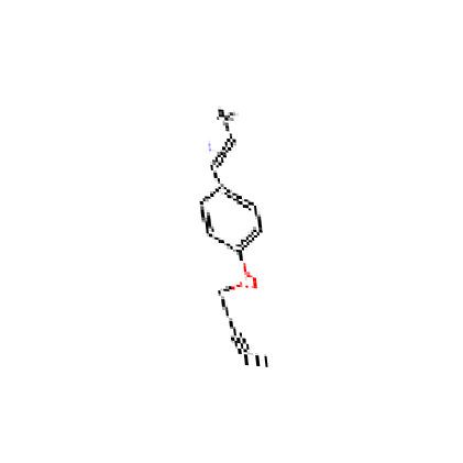 C#CCOc1ccc(/C=C/C(C)=O)cc1